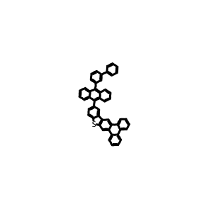 c1ccc(-c2cccc(-c3c4ccccc4c(-c4ccc5sc6cc7c8ccccc8c8ccccc8c7cc6c5c4)c4ccccc34)c2)cc1